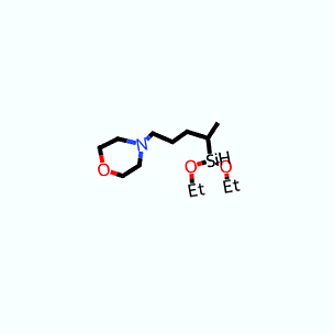 CCO[SiH](OCC)C(C)CCCN1CCOCC1